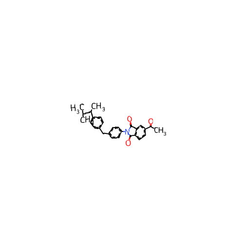 CC(=O)c1ccc2c(c1)C(=O)N(c1ccc(Cc3ccc(C(C)C(C)C)cc3)cc1)C2=O